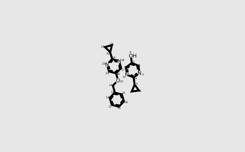 Oc1cnc(C2CC2)nc1.c1ccc(COc2cnc(C3CC3)nc2)cc1